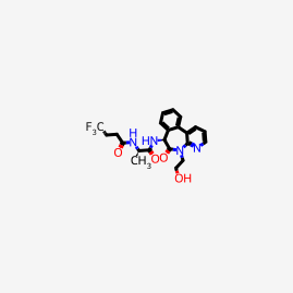 C[C@H](NC(=O)CCC(F)(F)F)C(=O)N[C@@H]1C(=O)N(CCO)c2ncccc2-c2ccccc21